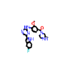 COc1cc(C(=O)N2CCN[C@H](C)C2)ccc1Nc1cncc(-c2cc3cc(F)ccc3[nH]2)n1